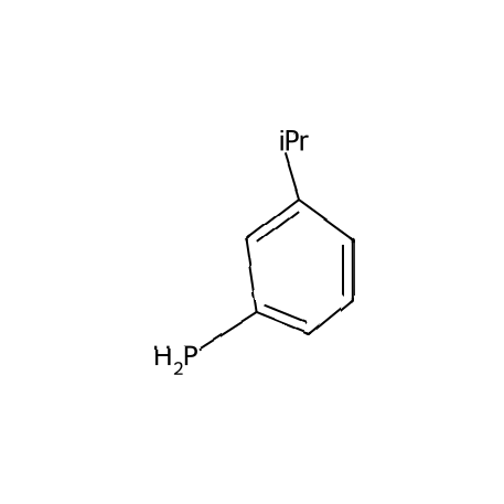 CC(C)c1cccc(P)c1